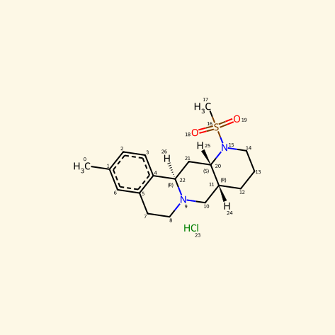 Cc1ccc2c(c1)CCN1C[C@H]3CCCN(S(C)(=O)=O)[C@H]3C[C@H]21.Cl